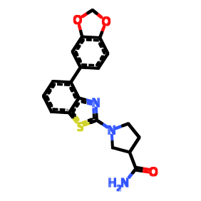 NC(=O)C1CCN(c2nc3c(-c4ccc5c(c4)OCO5)cccc3s2)C1